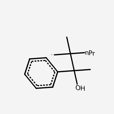 [CH2]C(C)(CCC)C(C)(O)c1ccccc1